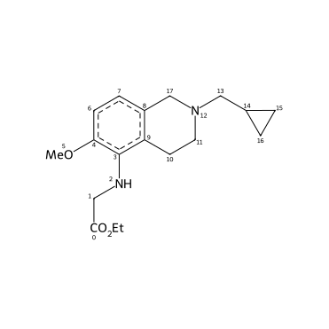 CCOC(=O)CNc1c(OC)ccc2c1CCN(CC1CC1)C2